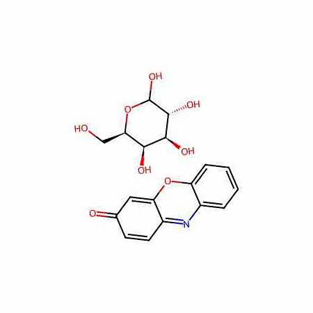 O=c1ccc2nc3ccccc3oc-2c1.OC[C@H]1OC(O)[C@H](O)[C@@H](O)[C@H]1O